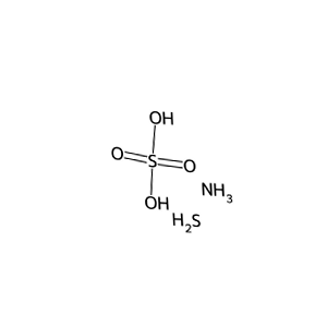 N.O=S(=O)(O)O.S